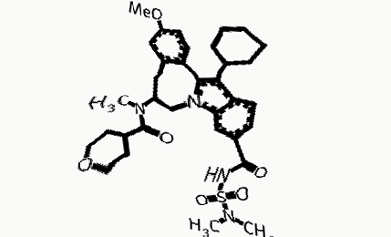 COc1ccc2c(c1)CC(N(C)C(=O)C1CCOCC1)Cn1c-2c(C2CCCCC2)c2ccc(C(=O)NS(=O)(=O)N(C)C)cc21